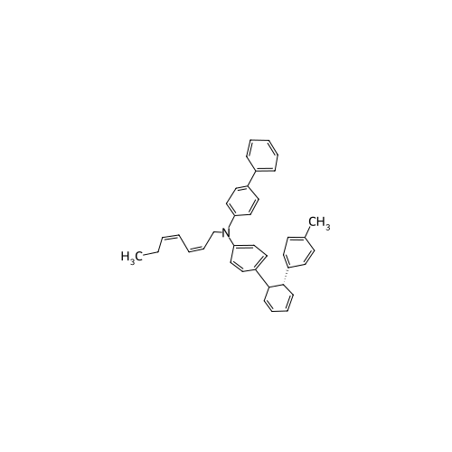 CC/C=C\C=C/CN(c1ccc(-c2ccccc2)cc1)c1ccc(C2C=CC=C[C@H]2c2ccc(C)cc2)cc1